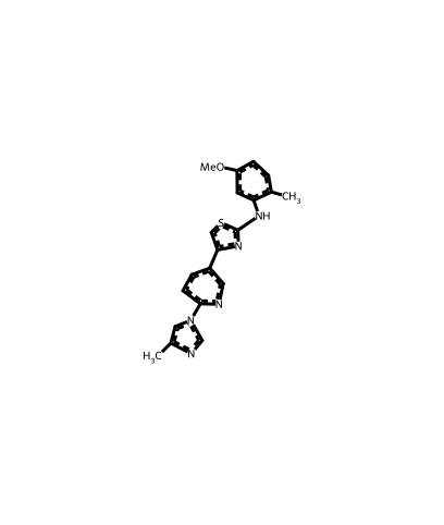 COc1ccc(C)c(Nc2nc(-c3ccc(-n4cnc(C)c4)nc3)cs2)c1